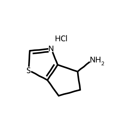 Cl.NC1CCc2scnc21